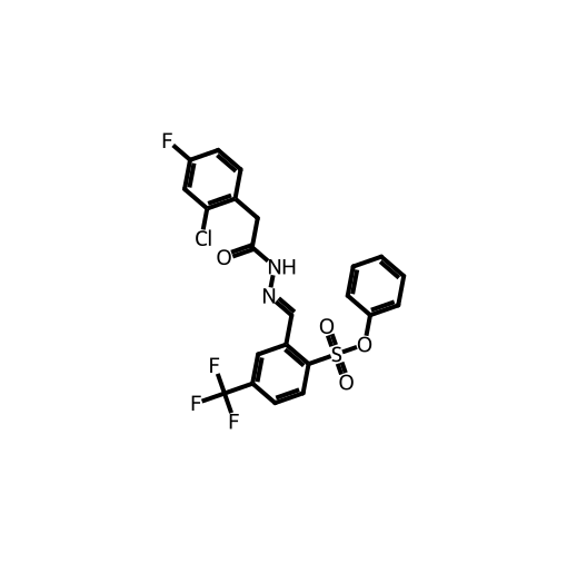 O=C(Cc1ccc(F)cc1Cl)N/N=C/c1cc(C(F)(F)F)ccc1S(=O)(=O)Oc1ccccc1